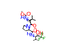 COC(=O)N[C@H](C(=O)N1CCCC1C(=O)NC(C(C)C)[C@H](O)C(F)(F)F)C(C)C